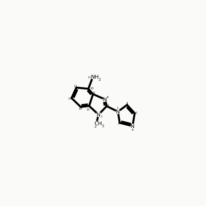 Cn1c(-n2ccnc2)nc2c(N)cccc21